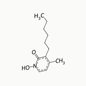 CCCCCCc1c(C)ccn(O)c1=O